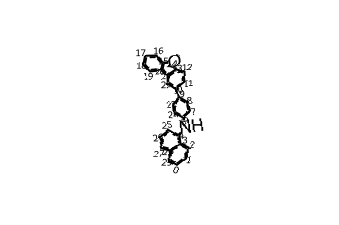 c1ccc2c(Nc3ccc(-c4ccc5oc6ccccc6c5c4)cc3)cccc2c1